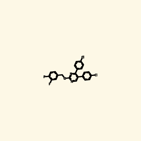 Fc1ccc(COc2ncc(-c3ccc(Cl)cc3)c(-c3ccc(Cl)cc3)n2)cc1F